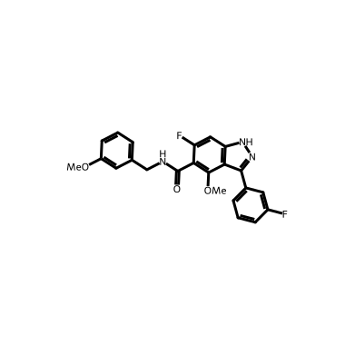 COc1cccc(CNC(=O)c2c(F)cc3[nH]nc(-c4cccc(F)c4)c3c2OC)c1